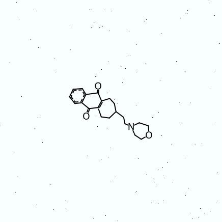 O=C1C2=C(CCC(CCN3CCOCC3)CC2)C(=O)c2ccccc21